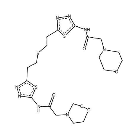 O=C(CN1CCOCC1)Nc1nnc(CCSCCc2nnc(NC(=O)CN3CCOCC3)s2)s1